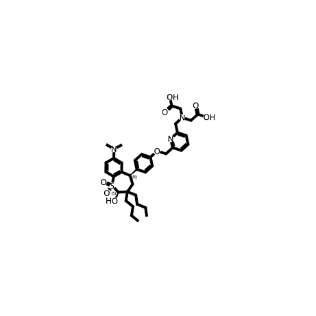 CCCCC1(CCCC)C[C@H](c2ccc(OCc3cccc(CN(CC(=O)O)CC(=O)O)n3)cc2)c2cc(N(C)C)ccc2S(=O)(=O)[C@@H]1O